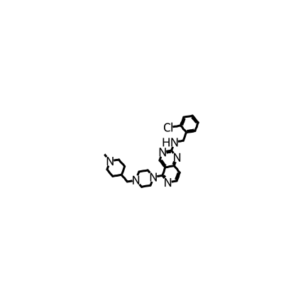 CN1CCC(CN2CCN(c3nccc4nc(NCc5ccccc5Cl)ncc34)CC2)CC1